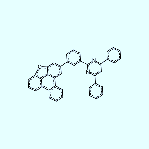 c1ccc(-c2cc(-c3ccccc3)nc(-c3cccc(-c4cc5oc6cccc7c8ccccc8c(c4)c5c67)c3)n2)cc1